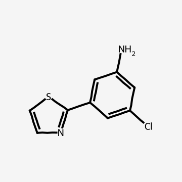 Nc1cc(Cl)cc(-c2nccs2)c1